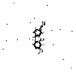 COc1ccc(Oc2ccc(C#N)cc2)c(C)c1